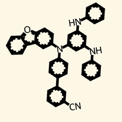 N#Cc1cccc(-c2ccc(N(c3cc(Nc4ccccc4)cc(Nc4ccccc4)c3)c3ccc4oc5ccccc5c4c3)cc2)c1